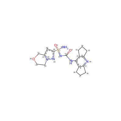 NS(=O)(=NC(=O)Nc1c2c(nc3c1CCC3)CCC2)c1cc2n(n1)CCOC2